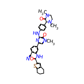 CN1CCN(C)C(c2ccc(Nc3nc(-c4ccc(C#N)c(NC(=O)c5cc6c(s5)CCCC6)c4)cn(C)c3=O)cc2)C1=O